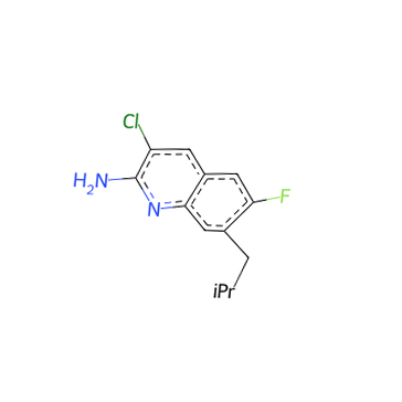 CC(C)Cc1cc2nc(N)c(Cl)cc2cc1F